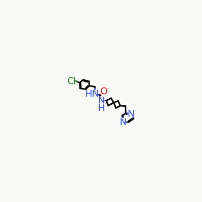 O=C(NCc1ccc(Cl)cc1)NC1CC2(CC(Cc3cnccn3)C2)C1